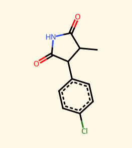 CC1C(=O)NC(=O)C1c1ccc(Cl)cc1